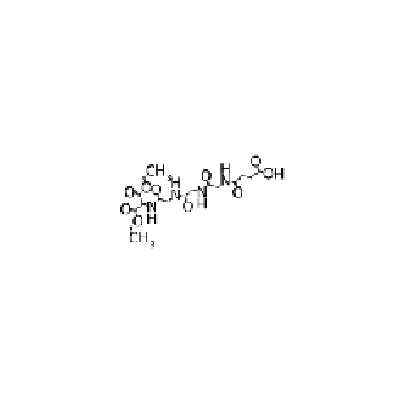 CCOC(=O)C(NC(=O)CNC(=O)CNC(=O)CNC(=O)CCC(=O)O)C(=O)OCC